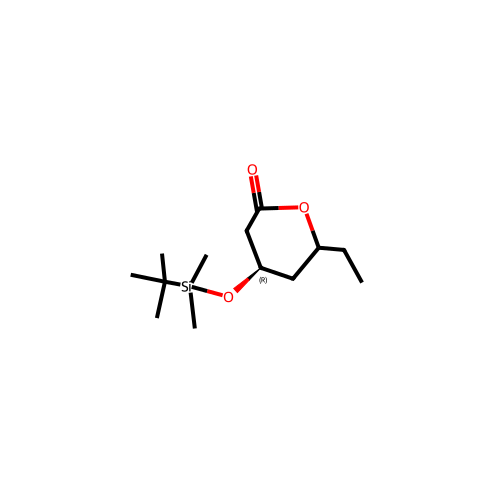 CCC1C[C@@H](O[Si](C)(C)C(C)(C)C)CC(=O)O1